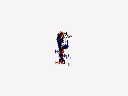 COc1cc(CN2CCN(C3CC4(CCN(c5ccc(C(=O)NS(=O)(=O)c6ccc(NCC7CCC(C)(O)CC7)c([N+](=O)[O-])c6)c(Oc6cnc7[nH]ccc7c6)c5)CC4)C3)C(c3ccccc3C(C)C)C2)ccc1S(C)(=O)=O